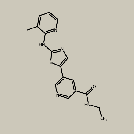 Cc1cccnc1Nc1ncc(-c2cncc(C(=O)NCC(F)(F)F)c2)s1